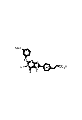 CCCn1c(Oc2cccc(OC)c2)nc2nc(C34CCC(CCC(=O)O)(CC3)CC4)[nH]c2c1=O